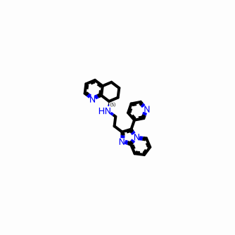 c1cncc(-c2c(CCN[C@H]3CCCc4cccnc43)nc3ccccn23)c1